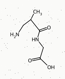 CC(CN)C(=O)NCC(=O)O